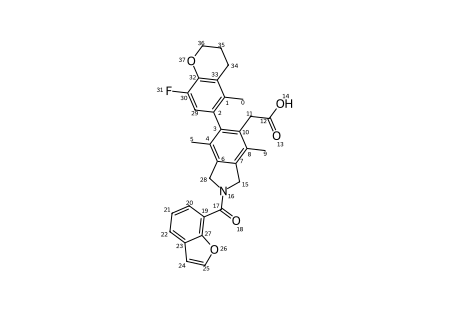 Cc1c(-c2c(C)c3c(c(C)c2CC(=O)O)CN(C(=O)c2cccc4ccoc24)C3)cc(F)c2c1CCCO2